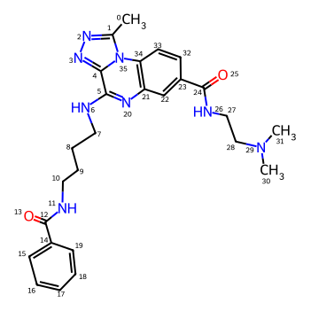 Cc1nnc2c(NCCCCNC(=O)c3ccccc3)nc3cc(C(=O)NCCN(C)C)ccc3n12